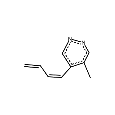 C=C/C=C\c1cnncc1C